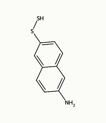 Nc1ccc2cc(SS)ccc2c1